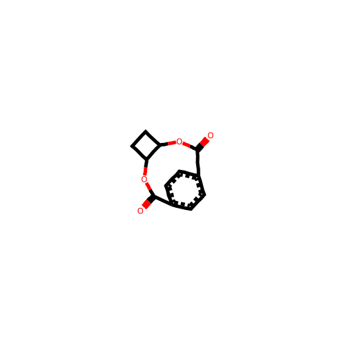 O=C1OC2CCC2OC(=O)c2ccc1cc2